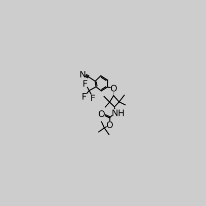 CC(C)(C)OC(=O)N[C@H]1C(C)(C)[C@H](Oc2ccc(C#N)c(C(F)(F)F)c2)C1(C)C